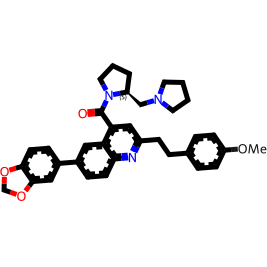 COc1ccc(CCc2cc(C(=O)N3CCC[C@H]3CN3CCCC3)c3cc(-c4ccc5c(c4)OCO5)ccc3n2)cc1